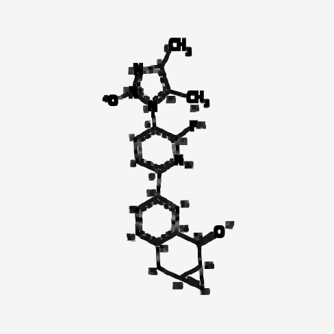 Cc1n[n+]([O-])n(-c2ccc(-c3ccc4c(c3)C(=O)C3C=C3C4)nc2F)c1C